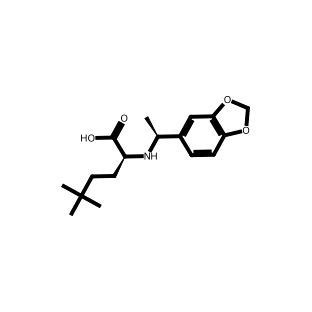 C[C@H](N[C@@H](CCC(C)(C)C)C(=O)O)c1ccc2c(c1)OCO2